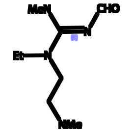 CCN(CCNC)/C(=N/C=O)NC